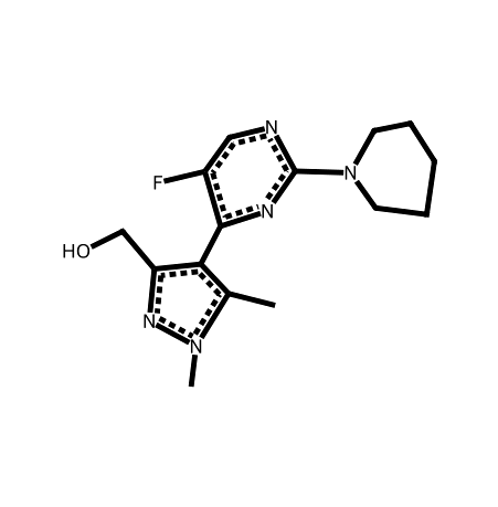 Cc1c(-c2nc(N3CCCCC3)ncc2F)c(CO)nn1C